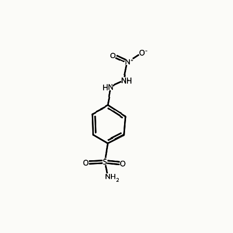 NS(=O)(=O)c1ccc(NN[N+](=O)[O-])cc1